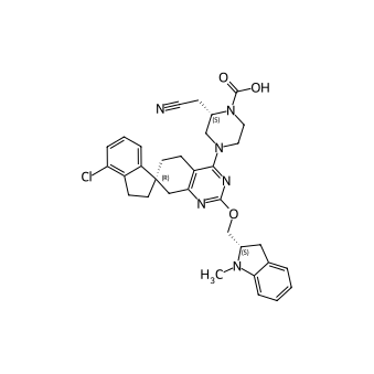 CN1c2ccccc2C[C@H]1COc1nc2c(c(N3CCN(C(=O)O)[C@@H](CC#N)C3)n1)CC[C@@]1(CCc3c(Cl)cccc31)C2